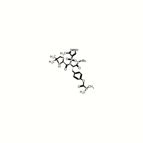 CCCCOC(=O)[C@H](Cc1ccc(OC(=O)N(C)C)cc1)N(C(=O)[C@H]1NC(C)(C)CS1)S(=O)(=O)c1c[nH]nc1C